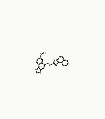 CCOc1ccc2c(c1)c(COc1nc3c(ccc4ccccc43)s1)cc1ncsc12